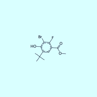 COC(=O)c1cc(C(C)(C)C)c(O)c(Br)c1F